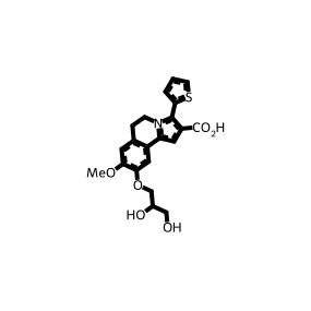 COc1cc2c(cc1OCC(O)CO)-c1cc(C(=O)O)c(-c3cccs3)n1CC2